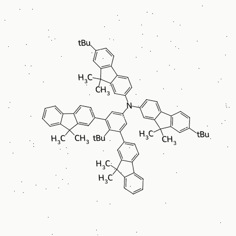 CC(C)(C)c1ccc2c(c1)C(C)(C)c1cc(N(c3cc(-c4ccc5c(c4)C(C)(C)c4ccccc4-5)c(C(C)(C)C)c(-c4ccc5c(c4)C(C)(C)c4ccccc4-5)c3)c3ccc4c(c3)C(C)(C)c3cc(C(C)(C)C)ccc3-4)ccc1-2